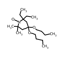 CCCCOC1(OCCCC)CC(C)(C)N([O])C(CC)(CC)C1